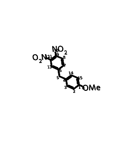 COc1ccc(Cc2ccc([N+](=O)[O-])c([N+](=O)[O-])c2)cc1